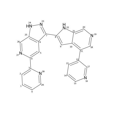 c1ccc(-c2cc3c(-c4cc5c(-c6cccnc6)cncc5[nH]4)n[nH]c3cn2)nc1